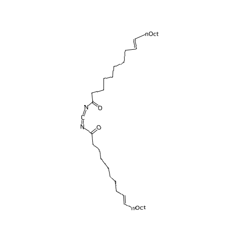 CCCCCCCCC=CCCCCCCCC(=O)N=C=NC(=O)CCCCCCCC=CCCCCCCCC